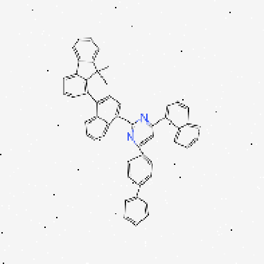 CC1(C)c2ccccc2-c2cccc(-c3ccc(-c4nc(-c5ccc(-c6ccccc6)cc5)cc(-c5cccc6ccccc56)n4)c4ccccc34)c21